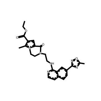 CCOC(=O)c1cc2n(c1C)CCN(CCNc1nccc3ccc(-c4noc(C)n4)cc13)C2=O